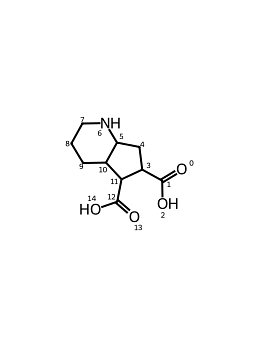 O=C(O)C1CC2NCCCC2C1C(=O)O